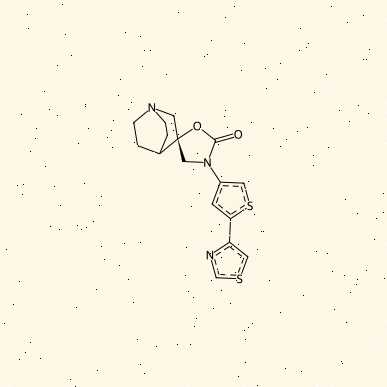 O=C1O[C@]2(CN3CCC2CC3)CN1c1csc(-c2cscn2)c1